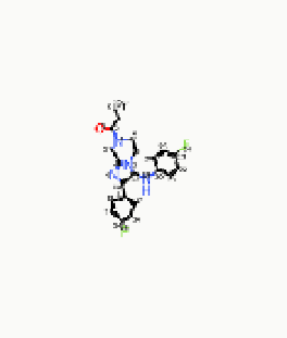 CC(C)CC(=O)N1CCn2c(nc(-c3ccc(F)cc3)c2Nc2ccc(F)cc2)C1